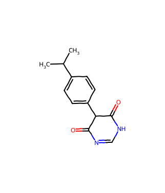 CC(C)c1ccc(C2C(=O)N=CNC2=O)cc1